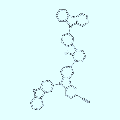 N#Cc1ccc2c(c1)c1cc(-c3cccc4c3oc3ccc(-n5c6ccccc6c6ccccc65)cc34)ccc1n2-c1ccc2oc3ccccc3c2c1